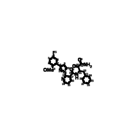 COc1ccc(F)cc1-c1ccn(-c2ncccc2C(=O)NC(Cc2ccccc2)C(=O)C(N)=O)n1